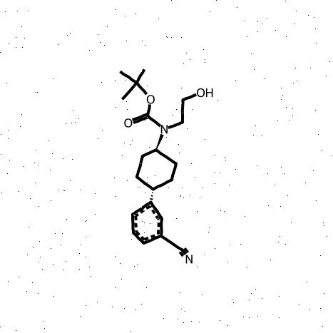 CC(C)(C)OC(=O)N(CCO)[C@H]1CC[C@H](c2cccc(C#N)c2)CC1